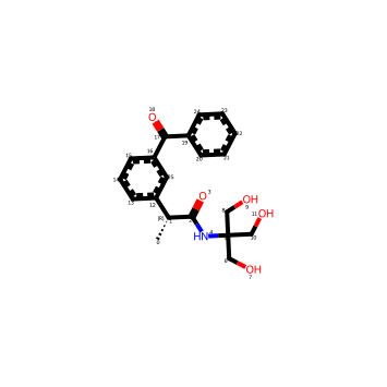 C[C@@H](C(=O)NC(CO)(CO)CO)c1cccc(C(=O)c2ccccc2)c1